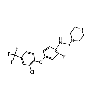 Fc1cc(Oc2ccc(C(F)(F)F)cc2Cl)ccc1NSN1CCOCC1